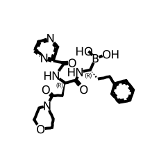 O=C(N[C@H](CC(=O)N1CCOCC1)C(=O)N[C@@H](CCc1ccccc1)B(O)O)c1cnccn1